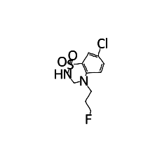 O=S1(=O)NCN(CCCF)c2ccc(Cl)cc21